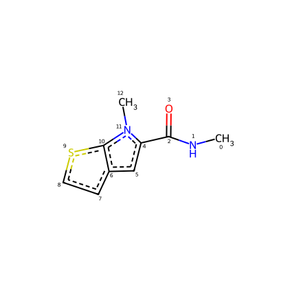 CNC(=O)c1cc2ccsc2n1C